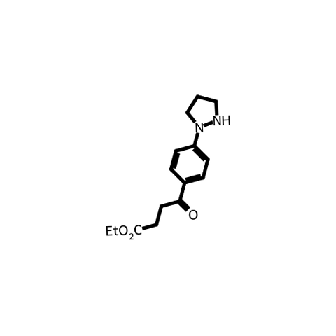 CCOC(=O)CCC(=O)c1ccc(N2CCCN2)cc1